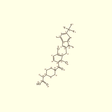 Cc1cc(C(F)(F)F)cc2c1cc(Cc1c(Cl)ccc(C(=O)N3CCC(C(C)C(=O)O)CC3)c1Cl)n2C